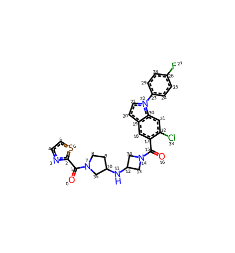 O=C(c1nccs1)N1CCC(NC2CN(C(=O)c3cc4ccn(-c5ccc(F)cc5)c4cc3Cl)C2)C1